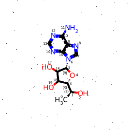 C[C@H](O)[C@H]1O[C@@H](n2cnc3c(N)ncnc32)C(O)C1O